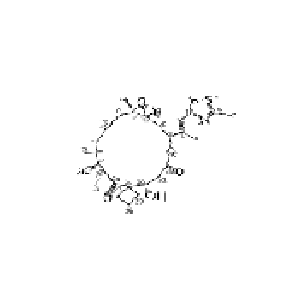 CC(=Cc1csc(C)n1)[C@@H]1C[C@H]2O[C@@]2(C)CCC[C@H](C)[C@H](O)[C@@H](C)C(=O)C2(CCC2)[C@@H](O)CC(=O)O1